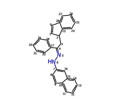 C1=CC(CC(=NNc2ccc3ccccc3c2)c2ccccc2)c2ccccc21